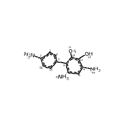 N.Nc1ccc(-c2ccc(N)c(O)c2O)cc1